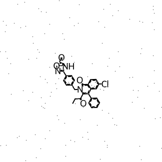 CCC(=O)c1c(-c2ccccc2)c2cc(Cl)ccc2c(=O)n1Cc1ccc(C2=NOS(=O)N2)cc1